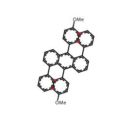 COc1ccc(-c2c3cccc(-c4ccccc4)c3c(-c3ccc(OC)cc3)c3cccc(-c4ccccc4)c23)cc1